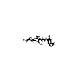 Cc1cc2c(cc1OCCCn1ncc3nc(-n4cc(C(=O)O)cn4)nc(O)c31)CCCC2